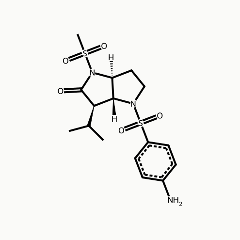 CC(C)[C@H]1C(=O)N(S(C)(=O)=O)[C@H]2CCN(S(=O)(=O)c3ccc(N)cc3)[C@H]12